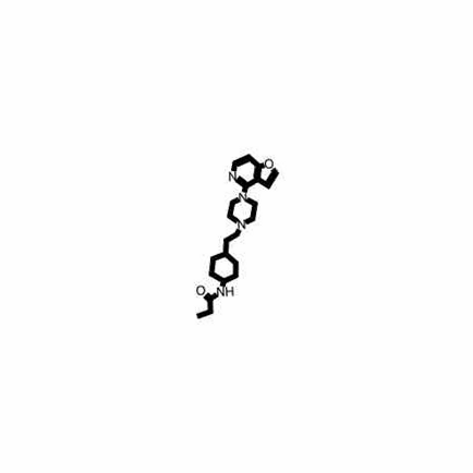 CCC(=O)NC1CCC(CCN2CCN(c3nccc4occc34)CC2)CC1